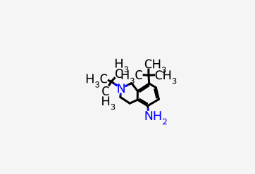 CC(C)(C)c1ccc(N)c2c1CN(C(C)(C)C)CC2